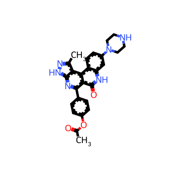 CC(=O)Oc1ccc(-c2nc3[nH]nc(C)c3c3c2c(=O)[nH]c2cc(N4CCNCC4)ccc23)cc1